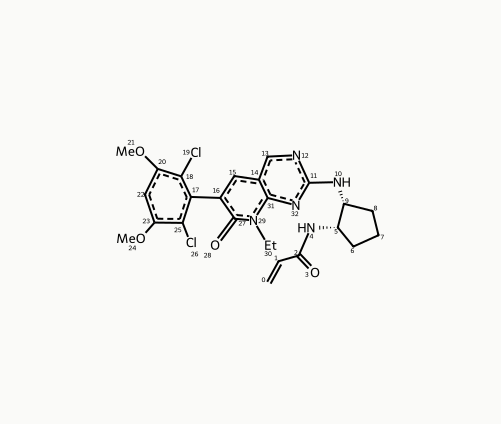 C=CC(=O)N[C@H]1CCC[C@H]1Nc1ncc2cc(-c3c(Cl)c(OC)cc(OC)c3Cl)c(=O)n(CC)c2n1